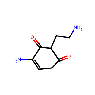 NCCC1C(=O)CC=C(N)C1=O